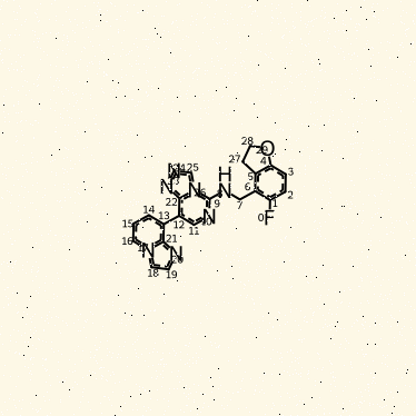 Fc1ccc2c(c1CNc1ncc(-c3cccn4ccnc34)c3nncn13)CCO2